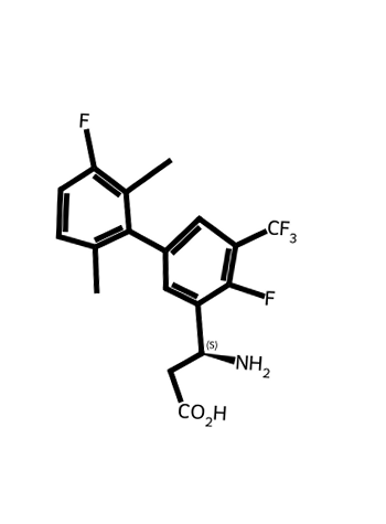 Cc1ccc(F)c(C)c1-c1cc([C@@H](N)CC(=O)O)c(F)c(C(F)(F)F)c1